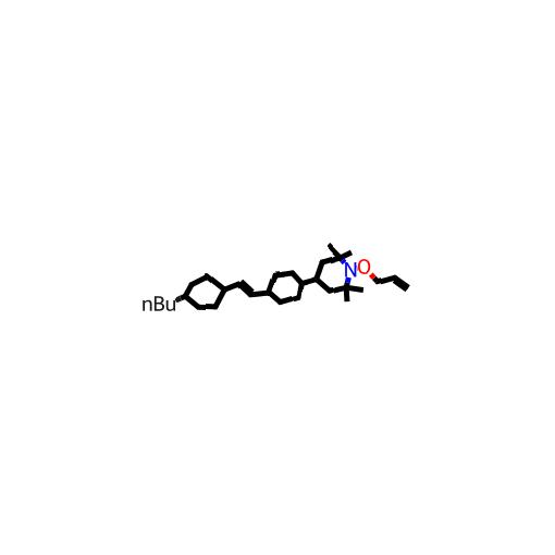 C=CCON1C(C)(C)CC(C2CCC(/C=C/C3CCC(CCCC)CC3)CC2)CC1(C)C